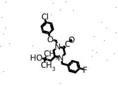 CC(C)(O)CC1CN(COc2ccc(Cl)cc2)C(=C=O)CN1Cc1ccc(F)cc1